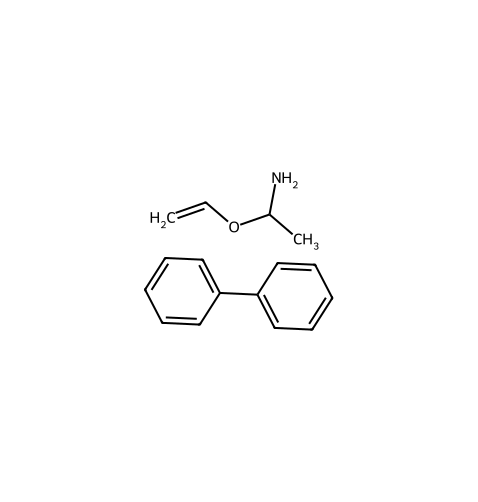 C=COC(C)N.c1ccc(-c2ccccc2)cc1